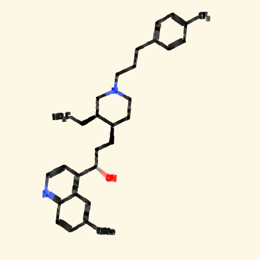 COc1ccc2nccc([C@@H](O)CC[C@@H]3CCN(CCCc4ccc(C(F)(F)F)cc4)C[C@@H]3CC(=O)O)c2c1